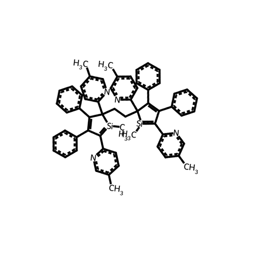 Cc1ccc(C2=[Si](C)C(CCC3(c4ccc(C)cn4)C(c4ccccc4)=C(c4ccccc4)C(c4ccc(C)cn4)=[Si]3C)(c3ccc(C)cn3)C(c3ccccc3)=C2c2ccccc2)nc1